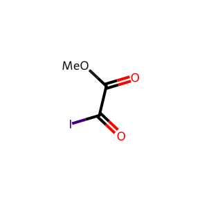 COC(=O)C(=O)I